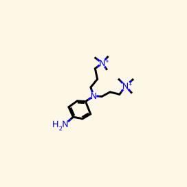 C[N+](C)(C)CCCN(CCC[N+](C)(C)C)c1ccc(N)cc1